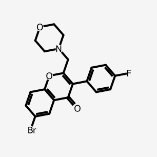 O=c1c(-c2ccc(F)cc2)c(CN2CCOCC2)oc2ccc(Br)cc12